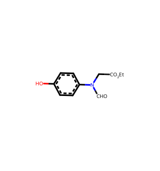 CCOC(=O)CN(C=O)c1ccc(O)cc1